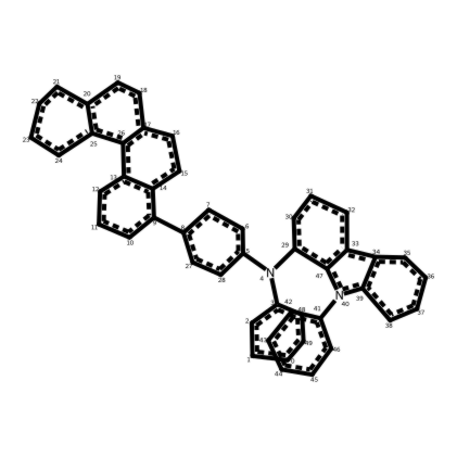 c1ccc(N(c2ccc(-c3cccc4c3ccc3ccc5ccccc5c34)cc2)c2cccc3c4ccccc4n(-c4ccccc4)c23)cc1